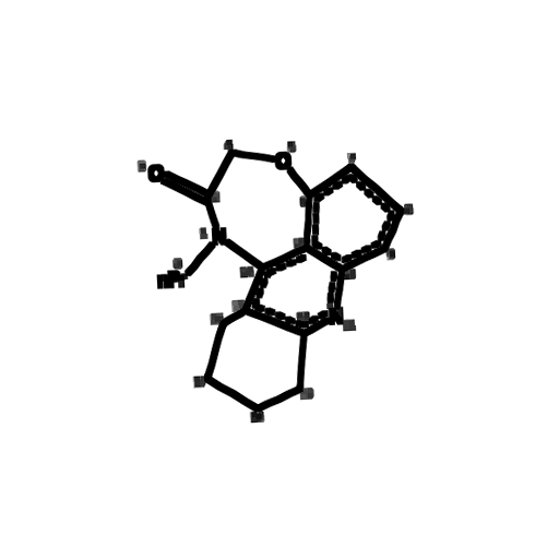 CCCN1C(=O)COc2cccc3nc4c(c1c23)CCCC4